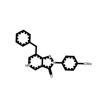 COc1ccc(-n2nc3c(Cc4ccccc4)c[nH]cc-3c2=O)cc1